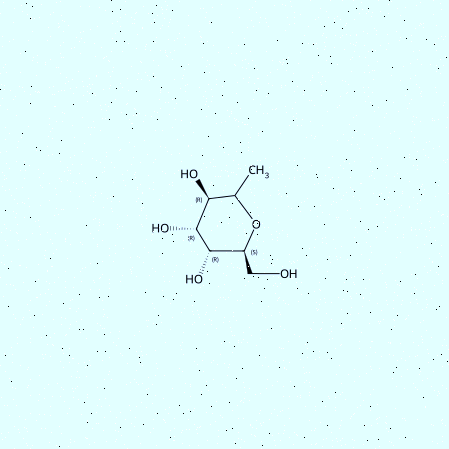 CC1O[C@@H](CO)[C@H](O)[C@H](O)[C@H]1O